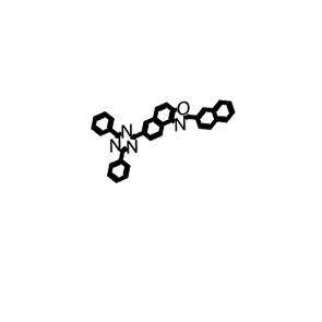 c1ccc(-c2nc(-c3ccccc3)nc(-c3ccc4c(ccc5oc(-c6ccc7ccccc7c6)nc54)c3)n2)cc1